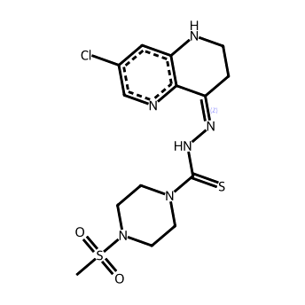 CS(=O)(=O)N1CCN(C(=S)N/N=C2/CCNc3cc(Cl)cnc32)CC1